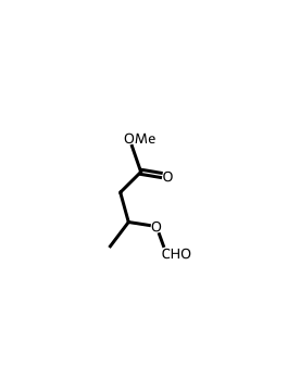 COC(=O)CC(C)OC=O